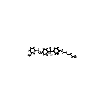 [2H]c1nccc(COc2ccc(C(C)(C)c3ccc(OCCCCCBr)cc3)cc2)n1